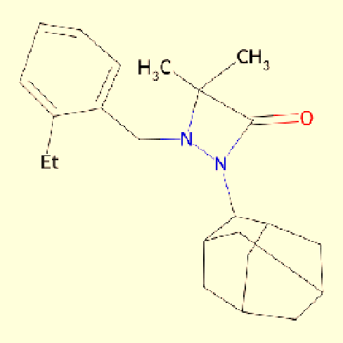 CCc1ccccc1CN1N(C2C3CC4CC(C3)CC2C4)C(=O)C1(C)C